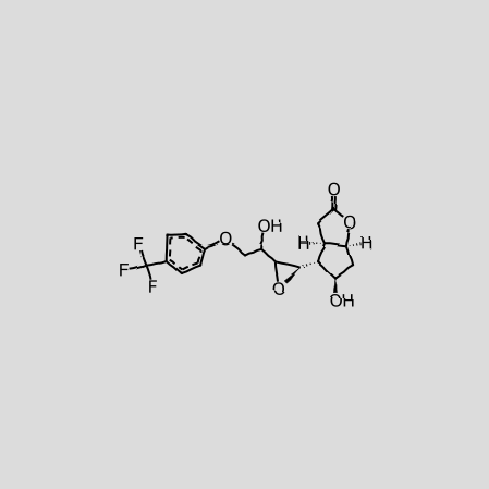 O=C1C[C@@H]2[C@@H]([C@H]3OC3C(O)COc3ccc(C(F)(F)F)cc3)[C@H](O)C[C@@H]2O1